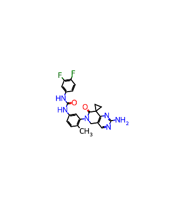 Cc1ccc(NC(=O)Nc2ccc(F)c(F)c2)cc1N1Cc2cnc(N)nc2C2(CC2)C1=O